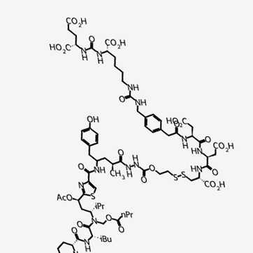 CCCC(=O)OCN(C(=O)[C@@H](NC(=O)[C@H]1CCCCN1C)C(C)CC)[C@H](C[C@@H](OC(C)=O)c1nc(C(=O)NC(Cc2ccc(O)cc2)C[C@H](C)C(=O)NNC(=O)OCCSSC[C@H](NC(=O)[C@H](CC(=O)O)NC(=O)[C@H](CC(=O)O)NC(=O)Cc2ccc(CNC(=O)NCCCC[C@H](NC(=O)N[C@@H](CCC(=O)O)C(=O)O)C(=O)O)cc2)C(=O)O)cs1)C(C)C